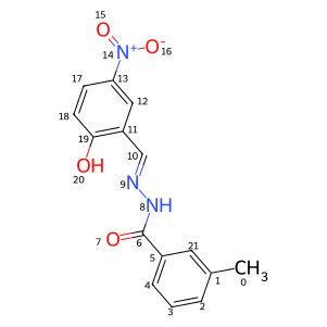 Cc1cccc(C(=O)NN=Cc2cc([N+](=O)[O-])ccc2O)c1